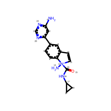 Nc1cc(-c2ccc3c(c2)C=C[N+]3(N)C(=O)NC2CC2)ncn1